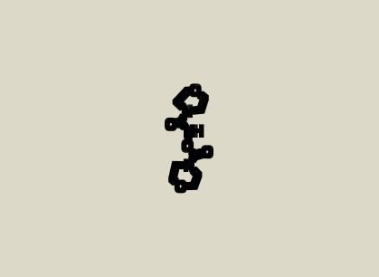 O=C(NOC(=O)N1CCOCC1)N1CCOCC1